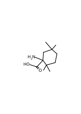 CC1(C)CCC(C)(C)C(N)(C(=O)O)C1